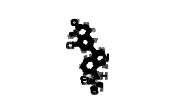 CC[SH](C)(=O)NC1CCCc2c(-c3cc(Cl)c4c(c3)CCC(=O)N4C)cncc21